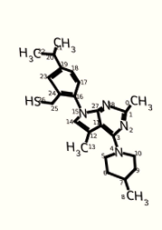 Cc1nc(N2CCC(C)CC2)c2c(C)cn(-c3ccc(C(C)C)cc3CS)c2n1